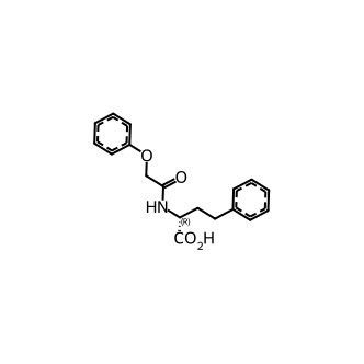 O=C(COc1ccccc1)N[C@H](CCc1ccccc1)C(=O)O